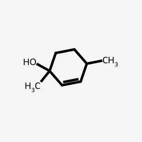 CC1C=CC(C)(O)CC1